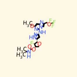 COc1cc2nc(COC(F)(F)F)cn2c(Nc2cc([C@@H]3OC[C@H](OC(=O)NC(C)C)[C@H]3F)[nH]n2)n1